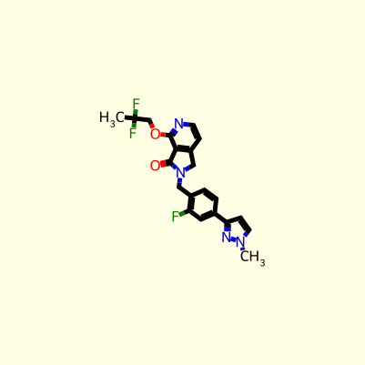 Cn1ccc(-c2ccc(CN3Cc4ccnc(OCC(C)(F)F)c4C3=O)c(F)c2)n1